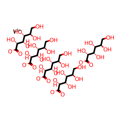 O=C([O-])[C@H](O)[C@@H](O)[C@H](O)[C@H](O)CO.O=C([O-])[C@H](O)[C@@H](O)[C@H](O)[C@H](O)CO.O=C([O-])[C@H](O)[C@@H](O)[C@H](O)[C@H](O)CO.O=C([O-])[C@H](O)[C@@H](O)[C@H](O)[C@H](O)CO.O=C([O-])[C@H](O)[C@@H](O)[C@H](O)[C@H](O)CO.[V+5]